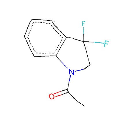 CC(=O)N1CC(F)(F)c2[c]cccc21